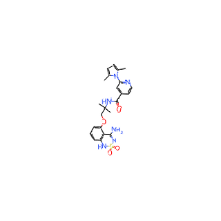 Cc1ccc(C)n1-c1cc(C(=O)NC(C)(C)COc2cccc3c2C(N)=NS(=O)(=O)N3)ccn1